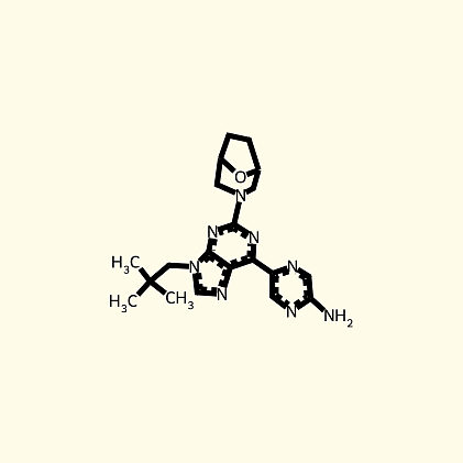 CC(C)(C)Cn1cnc2c(-c3cnc(N)cn3)nc(N3CC4CCC(C3)O4)nc21